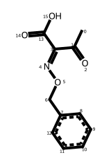 CC(=O)/C(=N\OCc1ccccc1)C(=O)O